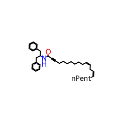 CCCCC/C=C\C/C=C\CCCCCCCC#CC(=O)NC(Cc1ccccc1)Cc1ccccc1